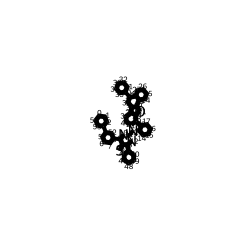 c1ccc(-c2cccc(-c3nc(-n4c5ccccc5c5c6oc7c8ccccc8c(-c8ccccc8)cc7c6ccc54)nc4c3sc3ccccc34)c2)cc1